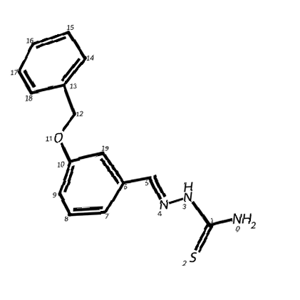 NC(=S)NN=Cc1cccc(OCc2ccccc2)c1